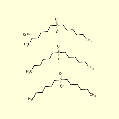 CCCCCCP(=O)([O-])CCCCCC.CCCCCCP(=O)([O-])CCCCCC.CCCCCCP(=O)([O-])CCCCCC.[Cr+3]